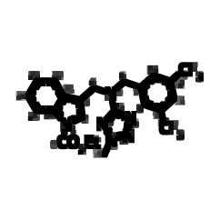 CCOC(=O)n1cc(CN(Cc2cc(C(F)(F)F)cc(C(F)(F)F)c2)c2nnn(C)n2)c2ccccc21